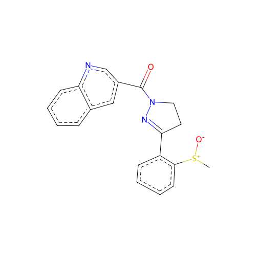 C[S+]([O-])c1ccccc1C1=NN(C(=O)c2cnc3ccccc3c2)CC1